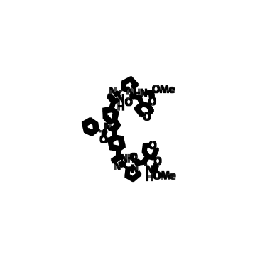 COC(=O)N[C@H](C(=O)N1CCC[C@H]1c1ncc(-c2ccc3c(c2)O[C@H](c2ccccc2)n2c-3cc3cc(-c4cnc([C@@H]5CCCN5C(=O)[C@@H](NC(=O)OC)C5CCOCC5)[nH]4)ccc32)[nH]1)C1CCOCC1